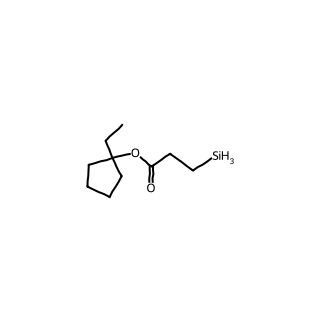 CCC1(OC(=O)CC[SiH3])CCCC1